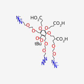 CC(C)(C)OC(=O)c1c(CCOCCOCCN=[N+]=[N-])c(OCCCC(=O)O)c(OCCCC(=O)O)c(OCCC(CCOCCOCCN=[N+]=[N-])C(=O)O)c1CCOCCOCCN=[N+]=[N-]